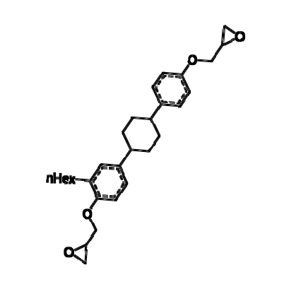 CCCCCCc1cc(C2CCC(c3ccc(OCC4CO4)cc3)CC2)ccc1OCC1CO1